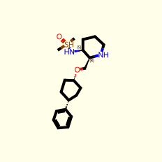 C[SH](C)(=O)N[C@H]1CCCN[C@H]1CO[C@H]1CC[C@@H](c2ccccc2)CC1